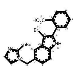 CCCCc1nccn1Cc1ccc2[nH]c(-c3ccccc3C(=O)O)c(Br)c2c1